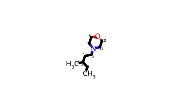 CCC(C)[CH]CN1CCOCC1